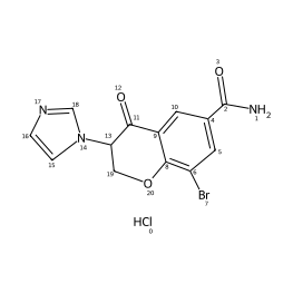 Cl.NC(=O)c1cc(Br)c2c(c1)C(=O)C(n1ccnc1)CO2